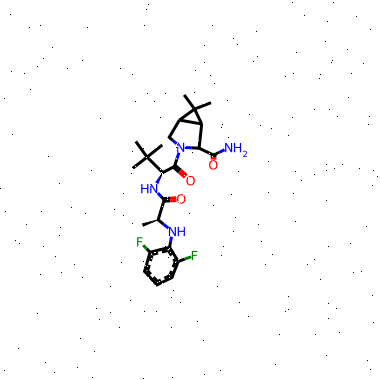 C[C@H](Nc1c(F)cccc1F)C(=O)N[C@H](C(=O)N1CC2C(C1C(N)=O)C2(C)C)C(C)(C)C